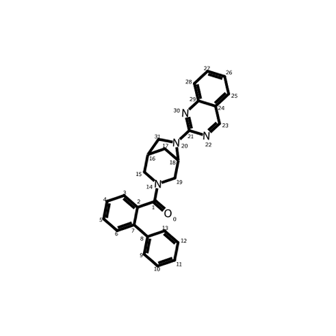 O=C(c1ccccc1-c1ccccc1)N1CC2CC(C1)N(c1ncc3ccccc3n1)C2